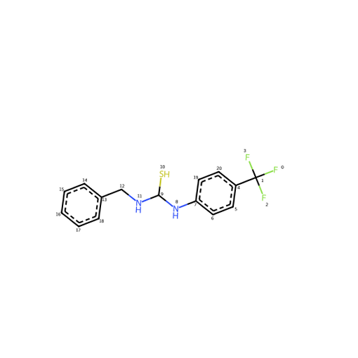 FC(F)(F)c1ccc(NC(S)NCc2ccccc2)cc1